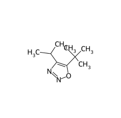 CC(C)c1nnoc1C(C)(C)C